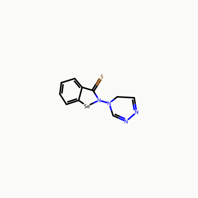 S=c1c2ccccc2[se]n1N1C=NN=CC1